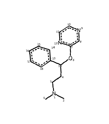 CN(C)CCC(Oc1cnccn1)c1ccccc1